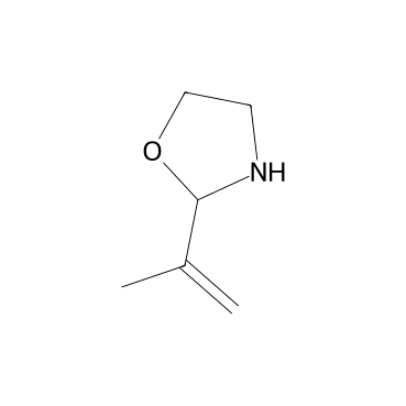 C=C(C)C1NCCO1